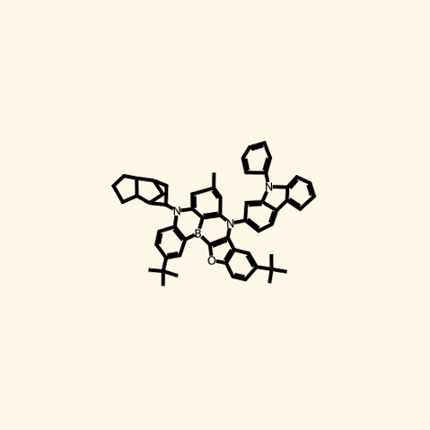 Cc1cc2c3c(c1)N(C1CC4CC1C1CCCC41)c1ccc(C(C)(C)C)cc1B3c1oc3ccc(C(C)(C)C)cc3c1N2c1ccc2c3ccccc3n(-c3ccccc3)c2c1